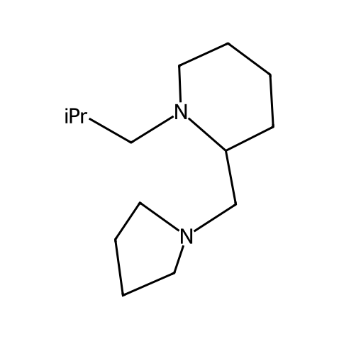 CC(C)CN1CCCCC1CN1CCCC1